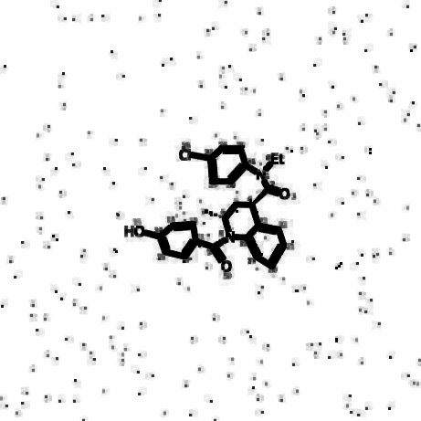 CCN(C(=O)[C@@H]1C[C@@H](C)N(C(=O)c2ccc(O)cc2)c2ccccc21)c1ccc(Cl)cc1